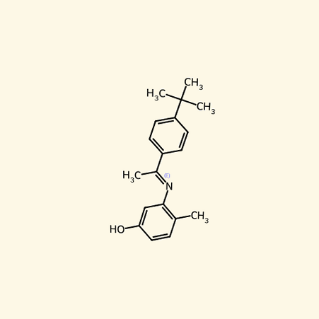 C/C(=N\c1cc(O)ccc1C)c1ccc(C(C)(C)C)cc1